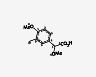 COc1ccc(C(OC)C(=O)O)cc1C